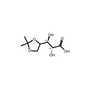 CC1(C)OCC([C@@H](O)[C@@H](O)C(=O)O)O1